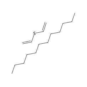 C=CSC=C.CCCCCCCCCCCC